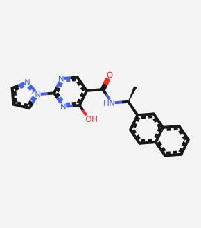 C[C@H](NC(=O)c1cnc(-n2cccn2)nc1O)c1ccc2ccccc2c1